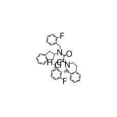 C[C@@H](C(=O)N(Cc1ccccc1F)C1Cc2ccccc2C1)N1CCc2ccccc2[C@@H]1c1c(F)cccc1Cl